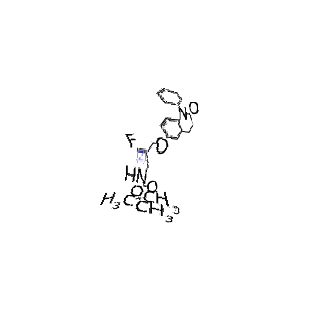 CC(C)(C)OC(=O)NC/C(=C/F)COc1ccc2c(c1)CCC(=O)N2c1ccccc1